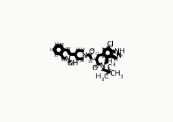 CC(C)(C)CN1Cc2c(cc(Cl)c3[nH]ncc23)C[C@@H](CC(=O)N2CCC(C3=Cc4ccccc4CN3O)CC2)C1=O